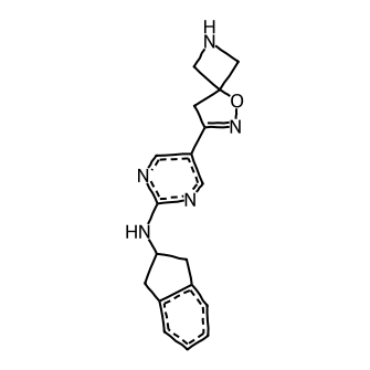 c1ccc2c(c1)CC(Nc1ncc(C3=NOC4(CNC4)C3)cn1)C2